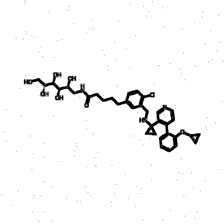 O=C(CCCCc1ccc(Cl)c(CNC2(c3cnccc3-c3ccccc3OC3CC3)CC2)c1)NC[C@H](O)[C@@H](O)[C@H](O)[C@H](O)CO